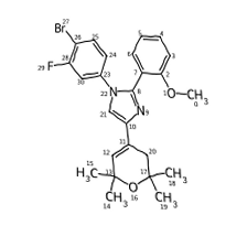 COc1ccccc1-c1nc(C2=CC(C)(C)OC(C)(C)C2)cn1-c1ccc(Br)c(F)c1